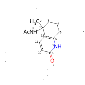 CC(=O)NC1(C)CCCc2[nH]c(=O)ccc21